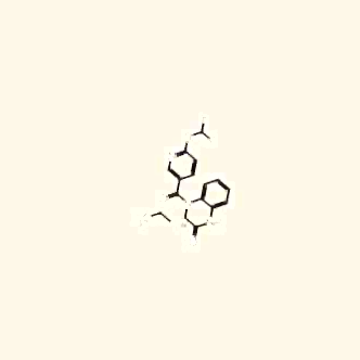 CCC[C@H]1C(=O)Nc2ccccc2N1C(=O)c1ccc(OC(F)F)nc1